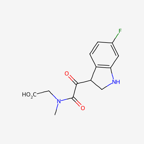 CN(CC(=O)O)C(=O)C(=O)C1CNc2cc(F)ccc21